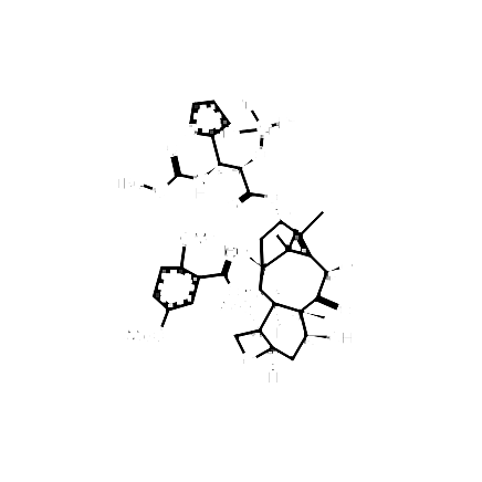 COc1ccc(OC)c(C(=O)O[C@H]2[C@@H]3[C@]4(OC(C)=O)CO[C@@H]4C[C@H](O)[C@@]3(C)C(=O)[C@H](O)C3=C(C)[C@@H](OC(=O)[C@H](O[Si](C(C)C)(C(C)C)C(C)C)[C@@H](NC(=O)OC(C)(C)C)c4ccco4)C[C@]2(O)C3(C)C)c1